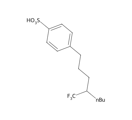 CCCCC(CCCc1ccc(S(=O)(=O)O)cc1)C(F)(F)F